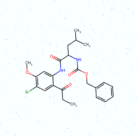 CCC(=O)c1cc(Br)c(OC)cc1NC(=O)C(CC(C)C)NC(=O)OCc1ccccc1